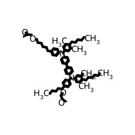 CCCCCCc1c(C)cc(N(c2ccc(CCCCCCOCC3CO3)cc2)c2ccc(-c3ccc(N(c4ccc(C(CCCCC)OCC5CO5)cc4)c4cc(C)c(CCCCCC)c(C)c4)cc3)cc2)cc1C